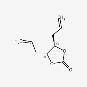 C=CC[C@H]1OC(=O)O[C@@H]1CC=C